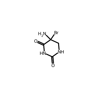 NC1(Br)CNC(=O)NC1=O